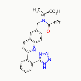 CCCC(=O)N(Cc1ccc2nc(-c3ccccc3-c3nnn[nH]3)ccc2c1)[C@@H](C)C(=O)O